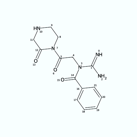 N=C(N)N(CC(=O)N1CCNCC1=O)C(=O)c1ccccc1